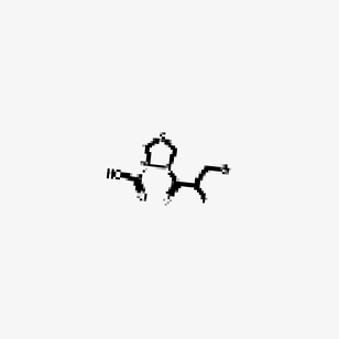 CC(CBr)C(=O)N1CSC[C@H]1C(=O)O